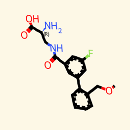 COCc1ccccc1-c1cc(F)cc(C(=O)NC[C@@H](N)C(=O)O)c1